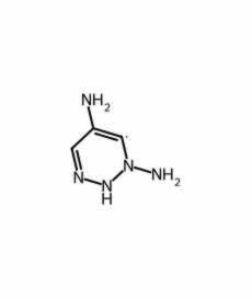 NC1=[C]N(N)NN=C1